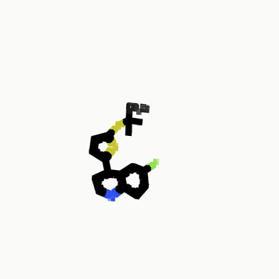 CCOC(=O)C(C)(C)Sc1ccc(-c2ccnc3ccc(F)cc23)s1